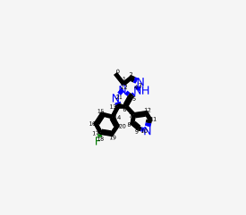 CC1C=NNc2c(-c3ccncc3)c(-c3ccc(F)cc3)nn21